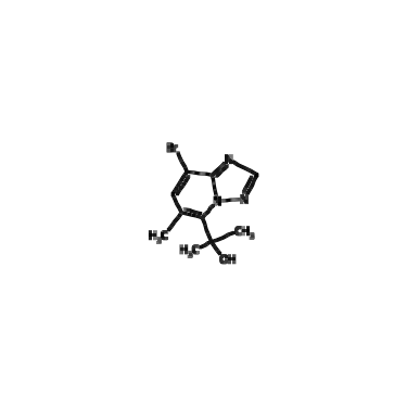 Cc1cc(Br)c2ncnn2c1C(C)(C)O